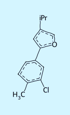 Cc1ccc(-c2cc(C(C)C)co2)cc1Cl